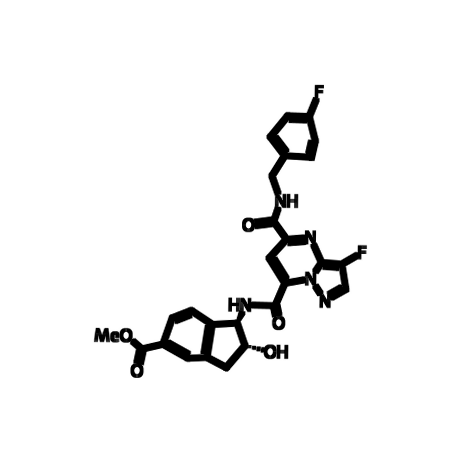 COC(=O)c1ccc2c(c1)C[C@@H](O)[C@@H]2NC(=O)c1cc(C(=O)NCc2ccc(F)cc2)nc2c(F)cnn12